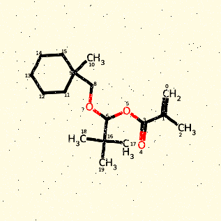 C=C(C)C(=O)OC(OCC1(C)CCCCC1)C(C)(C)C